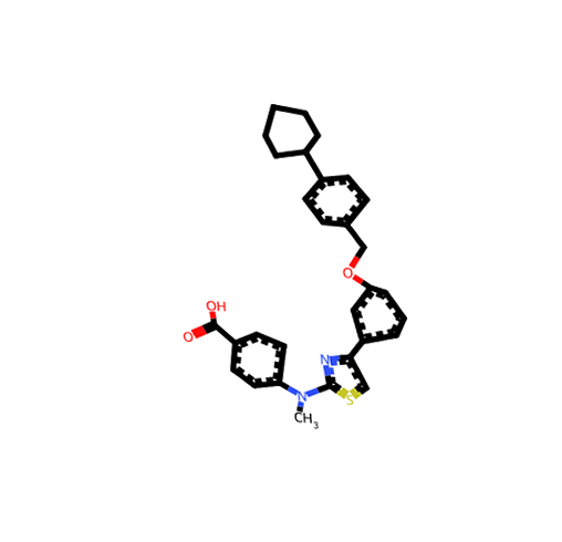 CN(c1ccc(C(=O)O)cc1)c1nc(-c2cccc(OCc3ccc(C4CCCCC4)cc3)c2)cs1